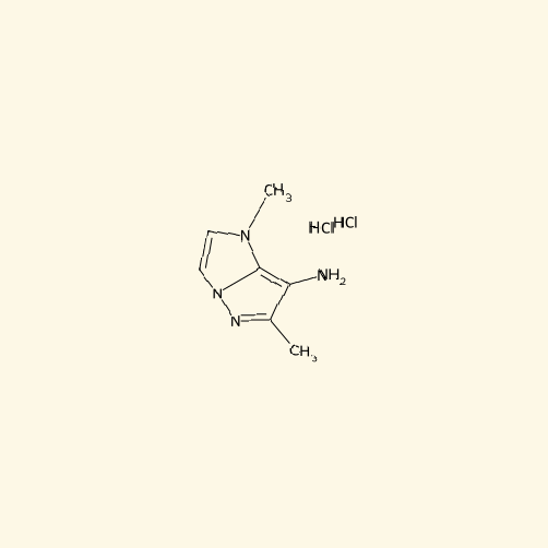 Cc1nn2ccn(C)c2c1N.Cl.Cl